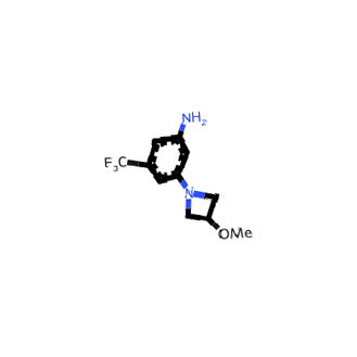 COC1CN(c2cc(N)cc(C(F)(F)F)c2)C1